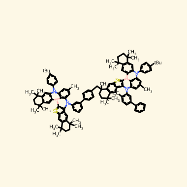 Cc1cc2c3c(c1)N(c1cccc(-c4ccc(CC5(C)CCC(C)(C)c6cc7c8c(sc7cc65)B5c6cc7c(cc6N(c6ccc(C(C)(C)C)cc6)c6cc(C)cc(c65)N8c5cc(-c6ccccc6)ccc5C)C(C)(C)CCC7(C)C)cc4)c1)c1c(sc4cc5c(cc14)C(C)(C)CCC5(C)C)B3c1cc3c(cc1N2c1ccc(C(C)(C)C)cc1)C(C)(C)CCC3(C)C